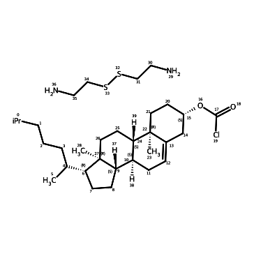 CC(C)CCCC(C)[C@H]1CC[C@H]2[C@@H]3CC=C4C[C@@H](OC(=O)Cl)CC[C@]4(C)[C@H]3CC[C@]12C.NCCSSCCN